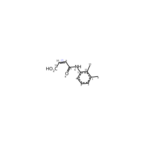 Cc1cccc(NC(=O)/C=C\C(=O)O)c1C